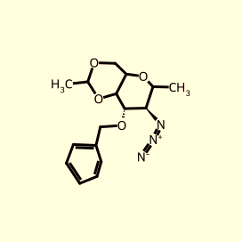 CC1OCC2OC(C)[C@@H](N=[N+]=[N-])[C@H](OCc3ccccc3)C2O1